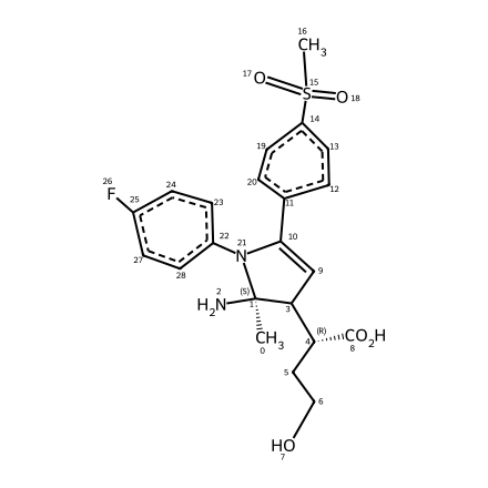 C[C@@]1(N)C([C@@H](CCO)C(=O)O)C=C(c2ccc(S(C)(=O)=O)cc2)N1c1ccc(F)cc1